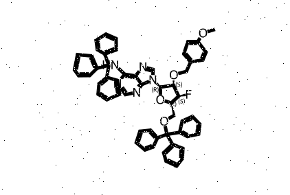 COc1ccc(CO[C@@H]2[C@@H](F)[C@@H](COC(c3ccccc3)(c3ccccc3)c3ccccc3)O[C@H]2n2cnc3c(NC(c4ccccc4)(c4ccccc4)c4ccccc4)ncnc32)cc1